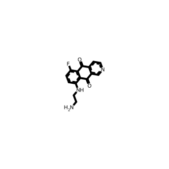 NCCNc1ccc(F)c2c1C(=O)c1cnccc1C2=O